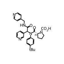 CC(C)(C)c1ccc(N(C(=O)[C@H]2CCCN2C(=O)O)C(C(=O)NCc2ccncc2)c2cccnc2)cc1